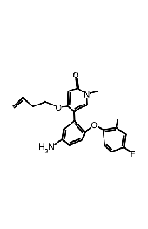 C=CCCOc1cc(=O)n(C)cc1-c1cc(N)ccc1Oc1ccc(F)cc1I